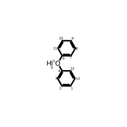 I.c1ccc(Oc2ccccc2)cc1